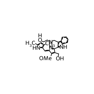 COC1=C(CO)C(c2[nH]c3ccccc3c2CNCCO)=N/C1=C\c1[nH]c(C)cc1C